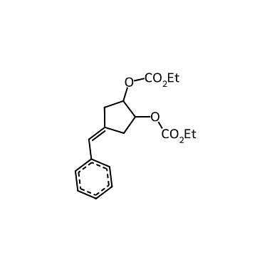 CCOC(=O)OC1CC(=Cc2ccccc2)CC1OC(=O)OCC